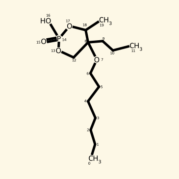 CCCCCCCOC1(CCC)COP(=O)(O)OC1C